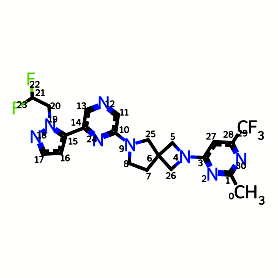 Cc1nc(N2CC3(CCN(c4cncc(-c5ccnn5CC(F)F)n4)C3)C2)cc(C(F)(F)F)n1